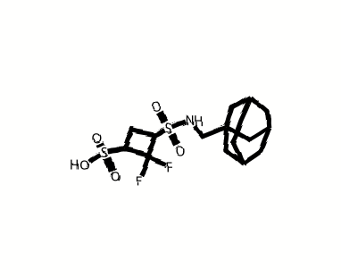 O=S(=O)(O)C1CC(S(=O)(=O)NCC23CC4CC(CC(C4)C2)C3)C1(F)F